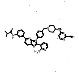 CC(C)C(=O)Nc1cccc(-c2ccc3nc(-c4cccnc4N)n(-c4ccc(CN5CCC(Nc6ccnc(C#N)n6)CC5)cc4)c3n2)c1